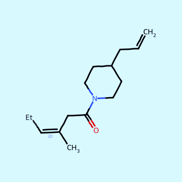 C=CCC1CCN(C(=O)C/C(C)=C\CC)CC1